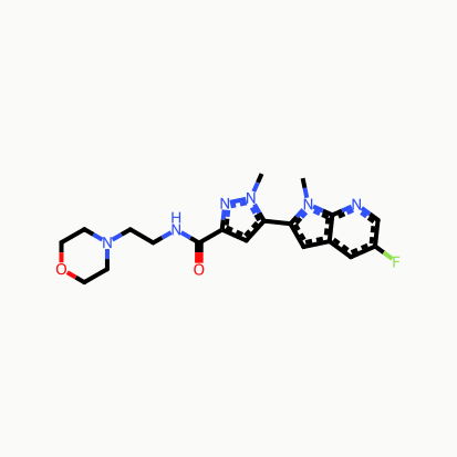 Cn1nc(C(=O)NCCN2CCOCC2)cc1-c1cc2cc(F)cnc2n1C